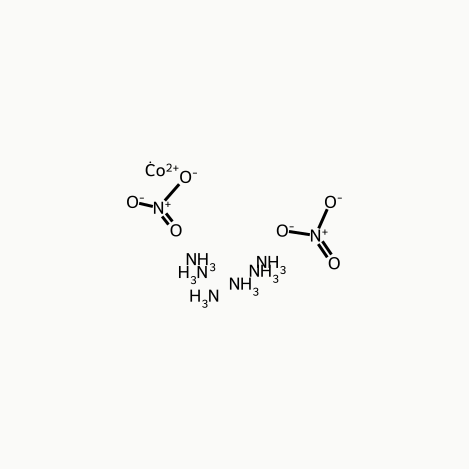 N.N.N.N.N.N.O=[N+]([O-])[O-].O=[N+]([O-])[O-].[Co+2]